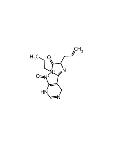 C=CCC1N=C2C3=C(NC=NC3)[N+](=O)[N+]2(CCC)C1=O